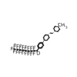 C[C@H]1CC[C@H](CC[C@H]2CC[C@H](c3ccc(C(=O)C(F)(F)C(F)(F)C(F)(F)C(F)(F)C(F)(F)C(F)(F)C(F)(F)C(F)(F)F)cc3)CC2)CC1